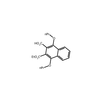 CCCOc1c(C(=O)O)c(C(=O)OCC)c(OCCC)c2ccccc12